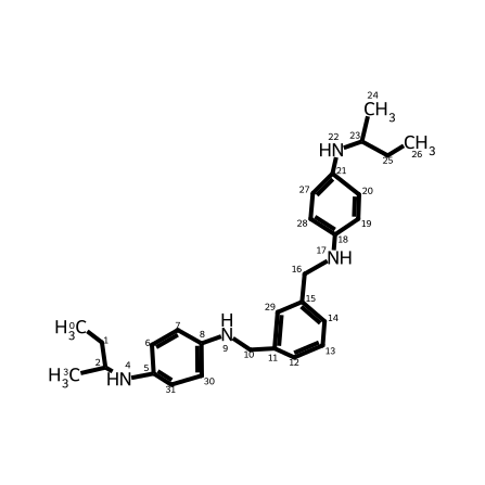 CCC(C)Nc1ccc(NCc2cccc(CNc3ccc(NC(C)CC)cc3)c2)cc1